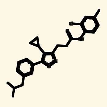 Cc1ccc(NC(=O)CCc2noc(-c3cccc(CC(C)C)c3)c2C2CC2)c(Cl)c1